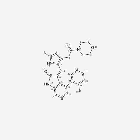 Cc1cc(CC(=O)N2CCOCC2)c(/C=C2\C(=O)Nc3cccc(-c4ccccc4F)c32)[nH]1